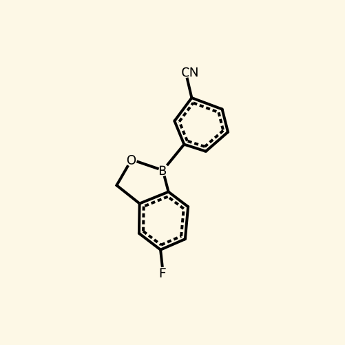 N#Cc1cccc(B2OCc3cc(F)ccc32)c1